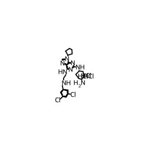 Cl.Cl.Cl.N[C@H]1CC[C@H](Nc2nc(NCCNCc3cc(Cl)cc(Cl)c3)c3ncn(C4CCCC4)c3n2)CC1